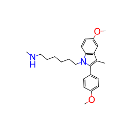 CNCCCCCCn1c(-c2ccc(OC)cc2)c(C)c2cc(OC)ccc21